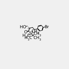 CC(C)(C)[Si](C)(C)C(=O)[C@H](CO)CCc1ccc(Br)cc1